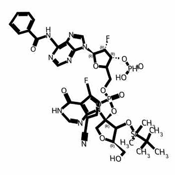 CC(C)(C)[Si](C)(C)OC1[C@@H](CO)OC[C@]1(OP(=O)(OCCC#N)OCC1O[C@@H](n2cnc3c(NC(=O)c4ccccc4)ncnc32)[C@H](F)[C@@H]1O[PH](=O)O)n1cc(F)c2c(=O)[nH]cnc21